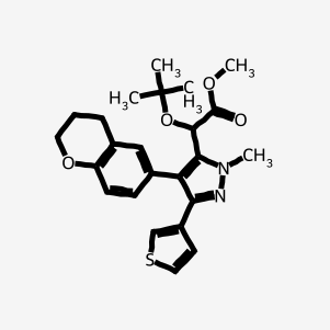 COC(=O)C(OC(C)(C)C)c1c(-c2ccc3c(c2)CCCO3)c(-c2ccsc2)nn1C